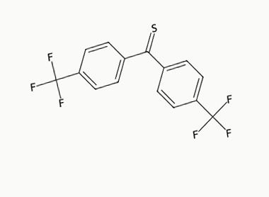 FC(F)(F)c1ccc(C(=S)c2ccc(C(F)(F)F)cc2)cc1